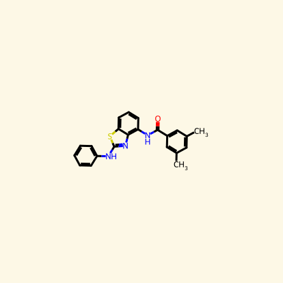 Cc1cc(C)cc(C(=O)Nc2cccc3sc(Nc4ccccc4)nc23)c1